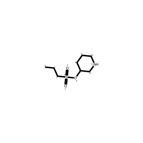 CCCS(=O)(=O)OC1CCCNC1